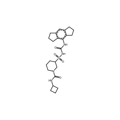 O=C(Nc1c2c(cc3c1CCC3)CCC2)NS(=O)(=O)C1CCCN(C(=O)NC2CCC2)C1